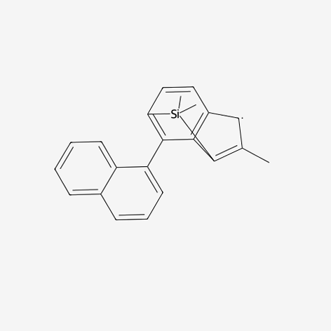 CC1=C2c3c(ccc(c3-c3cccc4ccccc34)[Si]2(C)C)[CH]1